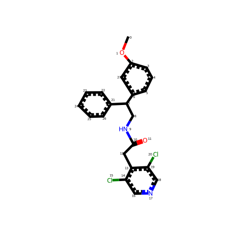 COc1cccc(C(CNC(=O)Cc2c(Cl)cncc2Cl)c2ccccc2)c1